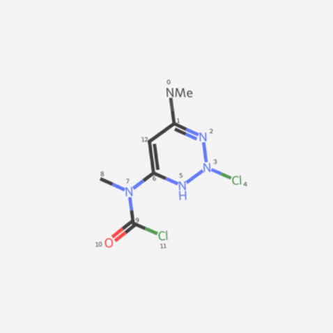 CNC1=NN(Cl)NC(N(C)C(=O)Cl)=C1